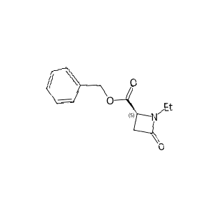 CCN1C(=O)C[C@H]1C(=O)OCc1ccccc1